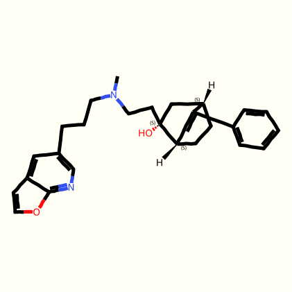 CN(CCCc1cnc2occc2c1)CC[C@@]1(O)C[C@@H]2CC[C@H]1C=C2c1ccccc1